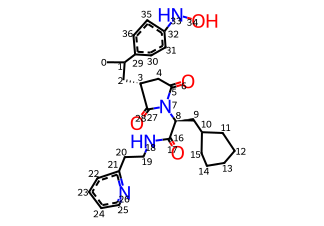 CC(C[C@@H]1CC(=O)N([C@@H](CC2CCCCC2)C(=O)NCCc2ccccn2)C1=O)c1ccc(NO)cc1